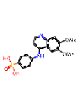 COc1cc2nccc(Nc3ccc(P(=O)(O)O)cc3)c2cc1OC